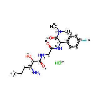 CCC[C@H](N)C(O)C(=O)NCC(=O)NC(C(=O)N(C)C)c1ccc(F)cc1.Cl